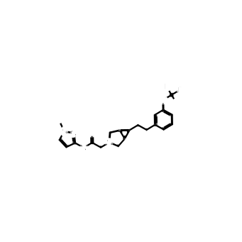 Cn1ccc(NC(=O)CN2CC3C(C[CH]c4cccc(OC(F)(F)F)c4)C3C2)n1